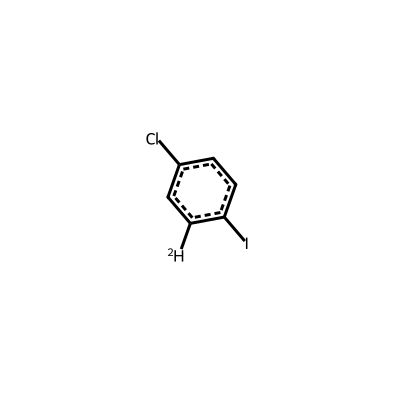 [2H]c1cc(Cl)ccc1I